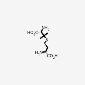 CC(C)(SSC[C@@H](N)C(=O)O)[C@@H](N)C(=O)O